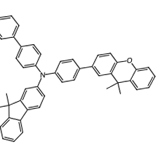 CC1(C)c2ccccc2Oc2ccc(-c3ccc(N(c4ccc(-c5ccccc5)cc4)c4ccc5c(c4)C(C)(C)c4ccccc4-5)cc3)cc21